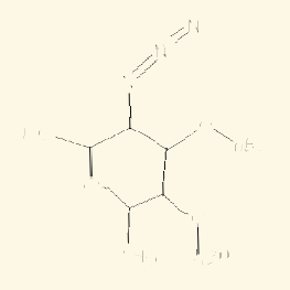 CCCCOC1C(C=O)OC(O)C(N=[N+]=[N-])C1OCCCC